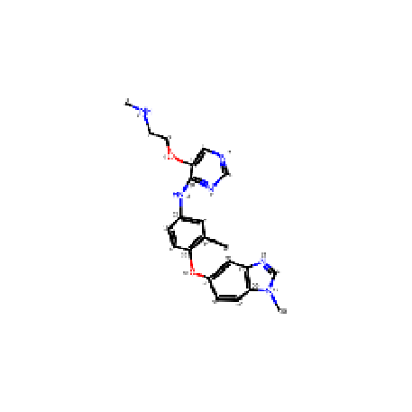 CNCCOc1cncnc1Nc1ccc(Oc2ccc3c(c2)ncn3C)c(C)c1